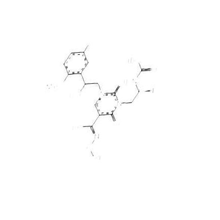 COc1ccc(F)cc1C(O)Cn1cc(/C(C)=N/OC(C)C)c(=O)n(C[C@@H](NC(=O)C(C)(C)C)C(C)C)c1=O